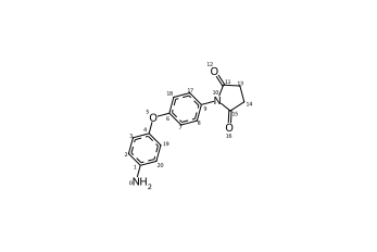 Nc1ccc(Oc2ccc(N3C(=O)CCC3=O)cc2)cc1